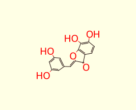 O=C1C(=Cc2cc(O)cc(O)c2)Oc2c1ccc(O)c2O